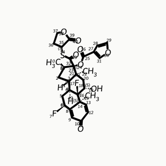 C[C@@H]1C[C@H]2[C@@H]3C[C@H](F)C4=CC(=O)C=C[C@]4(C)[C@@]3(F)[C@@H](O)C[C@]2(C)[C@@]1(OC(=O)c1ccoc1)C(=O)S[C@H]1CCOC1=O